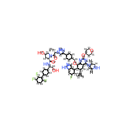 Cc1c(F)cc2[nH]ncc2c1-c1c(C2CC2)cc2c(N3C[C@@H]4C[C@H]3CN4)nc(OC3CCOCC3)nc2c1OCc1ccc(-c2cn([C@H](C(=O)N3C[C@H](O)C[C@H]3C(=O)N[C@@H](CO)c3ccc(-c4c(F)ccc(F)c4F)cc3)C(C)C)nn2)cc1